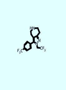 FC(F)(F)Cn1nc2c(c1-c1ccc(C(F)(F)F)cc1)CCNCC2